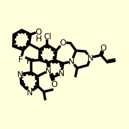 C=CC(=O)N1CC(C)N2c3nc(=O)n(-c4c(C(C)C)ncnc4C(C)C)c4c(F)c(-c5c(O)cccc5F)c(Cl)c(c34)OCC2C1